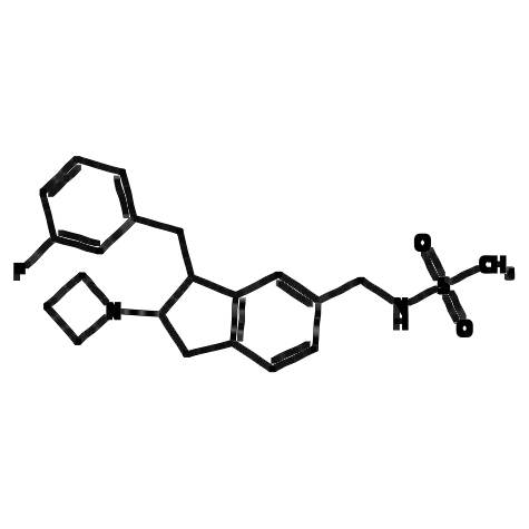 CS(=O)(=O)NCc1ccc2c(c1)C(Cc1cccc(F)c1)C(N1CCC1)C2